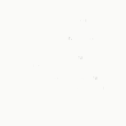 CNC(=O)c1[nH]c(NC(C)=O)cc1O[C@@H](C)c1ccccc1F